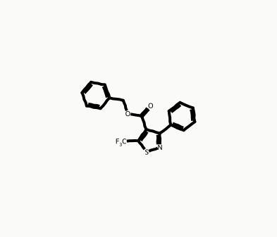 O=C(OCc1ccccc1)c1c(-c2ccccc2)nsc1C(F)(F)F